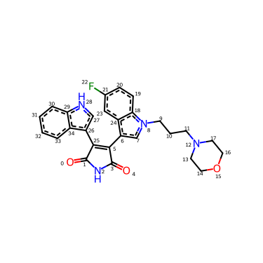 O=C1NC(=O)C(c2cn(CCCN3CCOCC3)c3ccc(F)cc23)=C1c1c[nH]c2ccccc12